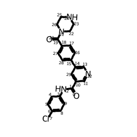 O=C(Nc1ccc(Cl)cc1)c1cncc(-c2ccc(C(=O)N3CCNCC3)cc2)c1